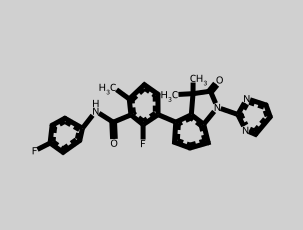 Cc1ccc(-c2cccc3c2C(C)(C)C(=O)N3c2ncccn2)c(F)c1C(=O)Nc1ccc(F)cc1